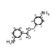 Nc1ccc(COC(=O)c2cccc(N)c2)cc1